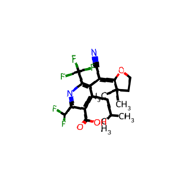 CC(C)Cc1c(C(=O)O)c(C(F)F)nc(C(F)(F)F)c1C(C#N)=C1OCCC1(C)C